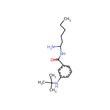 CCCCCC(N)NC(=O)c1cccc(NC(C)(C)C)c1